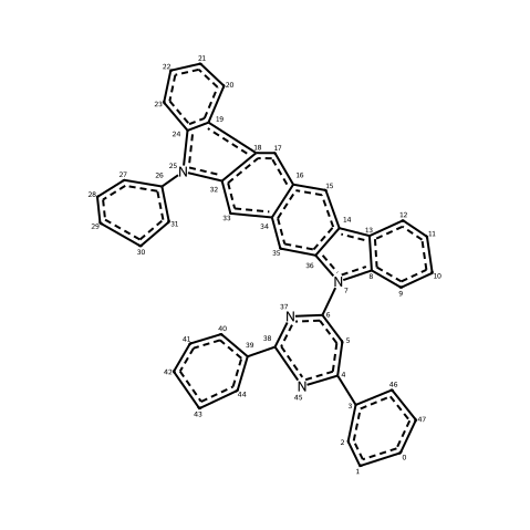 c1ccc(-c2cc(-n3c4ccccc4c4cc5cc6c7ccccc7n(-c7ccccc7)c6cc5cc43)nc(-c3ccccc3)n2)cc1